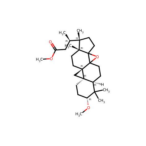 COC(=O)C[C@@H](C)[C@]1(C)CCC23OC24CC[C@H]2C(C)(C)[C@H](OC)CC[C@@]25C[C@@]45CC[C@@]31C